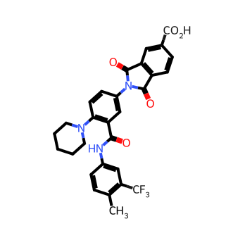 Cc1ccc(NC(=O)c2cc(N3C(=O)c4ccc(C(=O)O)cc4C3=O)ccc2N2CCCCC2)cc1C(F)(F)F